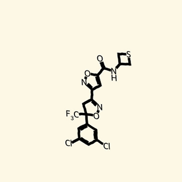 O=C(NC1CSC1)c1cc(C2=NOC(c3cc(Cl)cc(Cl)c3)(C(F)(F)F)C2)no1